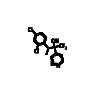 CC(c1ccc(Cl)cc1Cl)C(O)(c1ccnnc1)C(F)(F)F